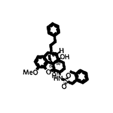 COc1ccc2c3c1O[C@H]1[C@@H](NS(=O)(=O)Cc4ccccc4C)CC[C@@]4(O)[C@@H](C2)N(CCc2ccccc2)CC[C@]314